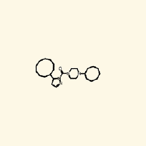 O=C(N1CCN(C2CCCCCCC2)CC1)N1N=CCC1C1CCCCCCCCC1